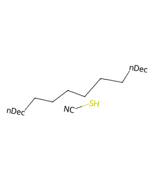 CCCCCCCCCCCCCCCCCCCCCCCCCC.N#CS